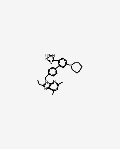 CCc1nc2c(C)cc(C)nc2n1Cc1ccc(-c2cc(N3CCCCCC3)ccc2-c2nn[nH]n2)cc1